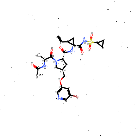 C=CC1C[C@]1(NC(=O)[C@@H]1C[C@@H](COc2cncc(Br)c2)CN1C(=O)[C@@H](NC(=O)OC)C(C)(C)C)C(=O)NS(=O)(=O)C1CC1